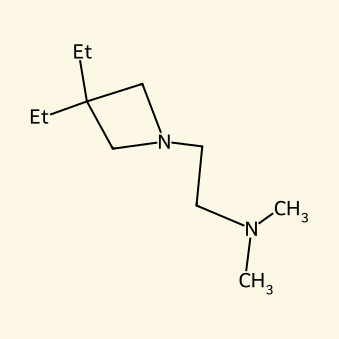 CCC1(CC)CN(CCN(C)C)C1